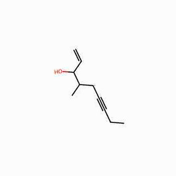 C=CC(O)C(C)[CH]C#CCC